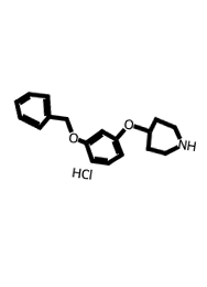 Cl.c1ccc(COc2cccc(OC3CCNCC3)c2)cc1